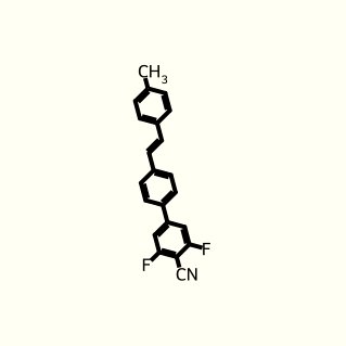 Cc1ccc(C=Cc2ccc(-c3cc(F)c(C#N)c(F)c3)cc2)cc1